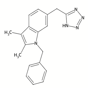 Cc1c(C)n(Cc2ccccc2)c2cc(Cc3nnn[nH]3)ccc12